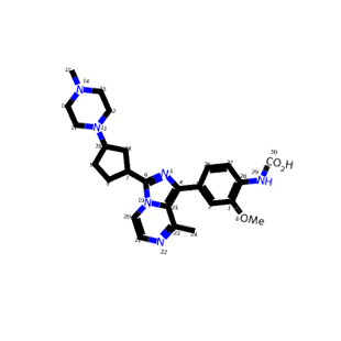 COc1cc(-c2nc(C3CCC(N4CCN(C)CC4)C3)n3ccnc(C)c23)ccc1NC(=O)O